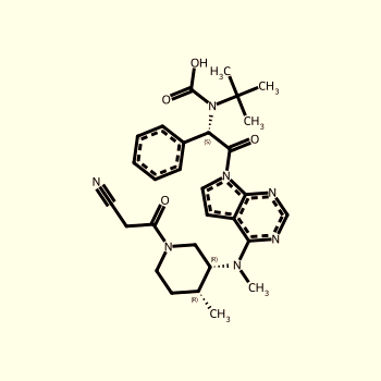 C[C@@H]1CCN(C(=O)CC#N)C[C@@H]1N(C)c1ncnc2c1ccn2C(=O)[C@H](c1ccccc1)N(C(=O)O)C(C)(C)C